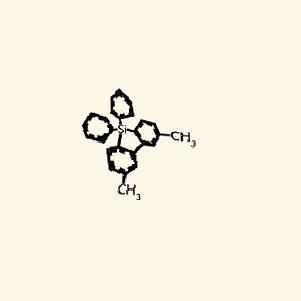 Cc1ccc2c(c1)-c1cc(C)ccc1[Si]2(c1ccccc1)c1ccccc1